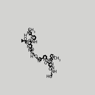 CN1CCCC12CN(c1nc3nc(NCCO)oc3cc1C(=O)Nc1cccc(-c3cnn(COCCNc4nc5nc(N6CC(O)(C7CC7)C6)c(C(=O)Nc6cccc(-c7cnn(C)c7)n6)cc5o4)c3)n1)C2